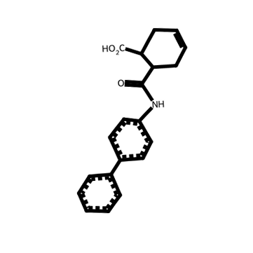 O=C(O)C1CC=CCC1C(=O)Nc1ccc(-c2ccccc2)cc1